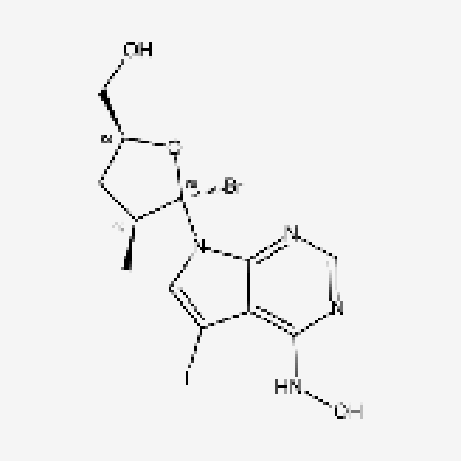 C[C@H]1C[C@@H](CO)O[C@@]1(Br)n1cc(I)c2c(NO)ncnc21